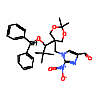 CC1(C)OCC(Cn2cc(C=O)nc2[N+](=O)[O-])(C(O[SiH](c2ccccc2)c2ccccc2)C(C)(C)C)CO1